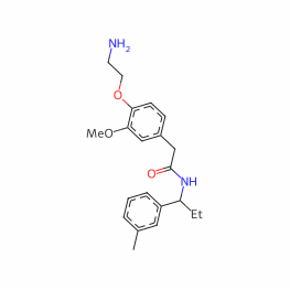 CCC(NC(=O)Cc1ccc(OCCN)c(OC)c1)c1cccc(C)c1